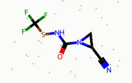 N#CC1CN1C(=O)NSC(F)(F)F